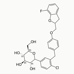 OC[C@H]1OC(c2ccc(Cl)c(Cc3ccc(OCC4Cc5cccc(F)c5O4)cc3)c2)[C@H](O)[C@@H](O)[C@@H]1O